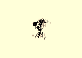 CNC(=O)c1cc(C(=O)NC2CN(C(=O)OC(C)(C)C)C2)cn(Cc2ccccc2)c1=O